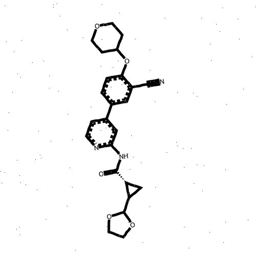 N#Cc1cc(-c2ccnc(NC(=O)[C@@H]3CC3C3OCCO3)c2)ccc1OC1CCOCC1